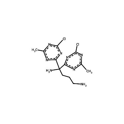 Cc1nc(Cl)nc(C(N)(CCCN)c2nc(C)nc(Cl)n2)n1